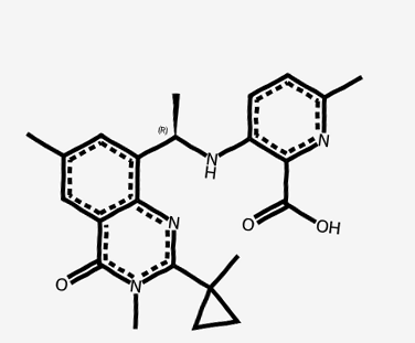 Cc1cc([C@@H](C)Nc2ccc(C)nc2C(=O)O)c2nc(C3(C)CC3)n(C)c(=O)c2c1